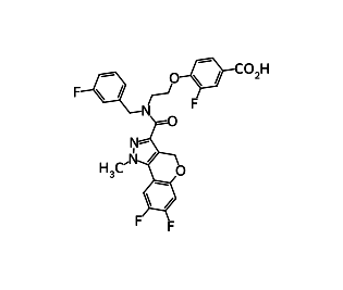 Cn1nc(C(=O)N(CCOc2ccc(C(=O)O)cc2F)Cc2cccc(F)c2)c2c1-c1cc(F)c(F)cc1OC2